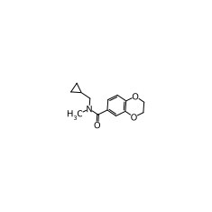 CN(CC1CC1)C(=O)c1ccc2c(c1)OCCO2